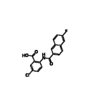 O=C(Nc1ccc(Cl)cc1C(=O)O)c1ccc2cc(F)ccc2c1